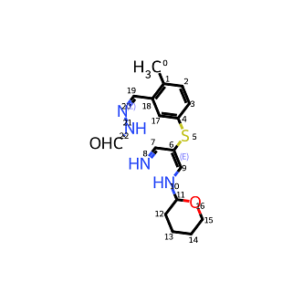 Cc1ccc(S/C(C=N)=C/NC2CCCCO2)cc1/C=N\NC=O